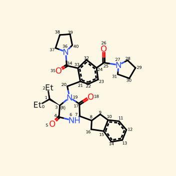 CCC(CC)[C@@H]1C(=O)NC(C2Cc3ccccc3C2)C(=O)N1Cc1ccc(C(=O)N2CCCC2)cc1C(=O)N1CCCC1